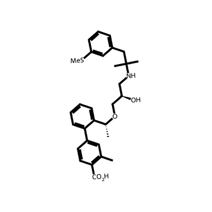 CSc1cccc(CC(C)(C)NC[C@@H](O)CO[C@H](C)c2ccccc2-c2ccc(C(=O)O)c(C)c2)c1